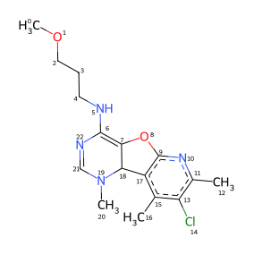 COCCCNC1=C2Oc3nc(C)c(Cl)c(C)c3C2N(C)C=N1